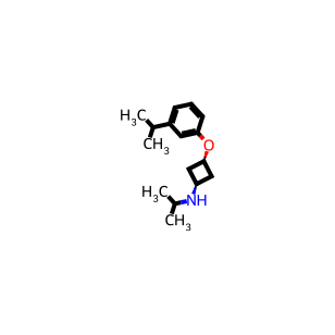 CC(C)N[C@H]1C[C@@H](Oc2cccc(C(C)C)c2)C1